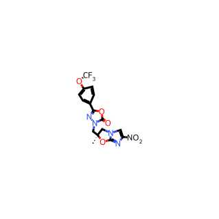 C[C@]1(Cn2nc(-c3ccc(OC(F)(F)F)cc3)oc2=O)Cn2cc([N+](=O)[O-])nc2O1